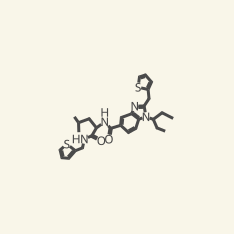 CCC(CC)n1c(Cc2cccs2)nc2cc(C(=O)NC(CC(C)C)C(=O)NCc3cccs3)ccc21